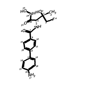 C[C@@](O)(CF)[C@H](NC(=O)c1ccc(-c2ccc(N)cc2)cc1)C(=O)NO